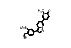 CNc1cc(-c2cnn3cc(-c4ccc(=O)n(C)c4)ccc23)ccc1C=N